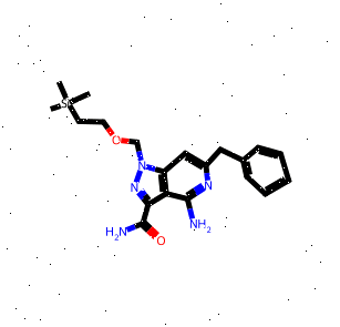 C[Si](C)(C)CCOCn1nc(C(N)=O)c2c(N)nc(Cc3ccccc3)cc21